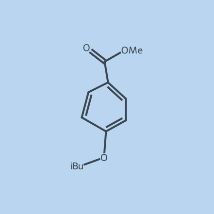 CCC(C)Oc1ccc(C(=O)OC)cc1